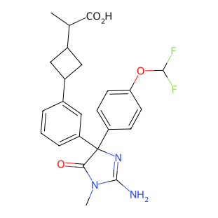 CC(C(=O)O)C1CC(c2cccc(C3(c4ccc(OC(F)F)cc4)N=C(N)N(C)C3=O)c2)C1